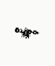 O=C(NO)C(COc1ccccc1)CS(=O)(=O)c1ccc(-c2ccc(F)cc2)cc1